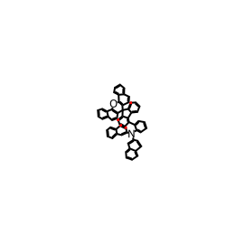 c1ccc(N(c2ccc3ccccc3c2)c2ccc3ccccc3c2)c(-c2cccc3c2-c2ccccc2C32c3ccc4ccccc4c3Oc3c2ccc2ccccc32)c1